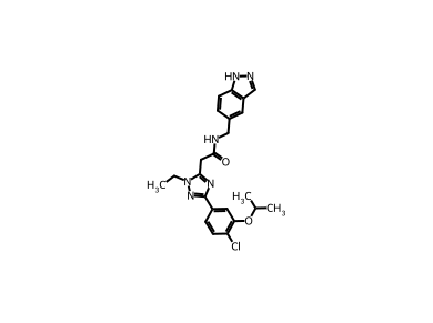 CCn1nc(-c2ccc(Cl)c(OC(C)C)c2)nc1CC(=O)NCc1ccc2[nH]ncc2c1